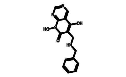 O=c1c(CNCc2ccccc2)c(O)c2cncnc2n1O